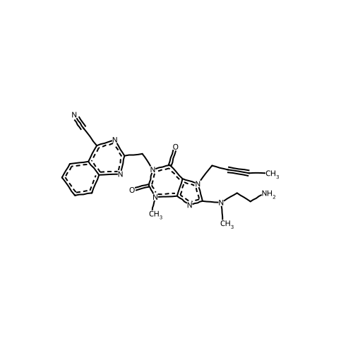 CC#CCn1c(N(C)CCN)nc2c1c(=O)n(Cc1nc(C#N)c3ccccc3n1)c(=O)n2C